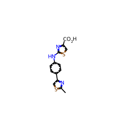 Cc1nc(-c2ccc(Nc3nc(C(=O)O)cs3)cc2)cs1